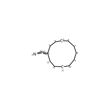 [N-]=[N+]=C1CCCCCCCCCCC1